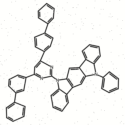 c1ccc(-c2ccc(-c3cc(-c4cccc(-c5ccccc5)c4)nc(-n4c5ccccc5c5cc6c(cc54)c4ccccc4n6-c4ccccc4)n3)cc2)cc1